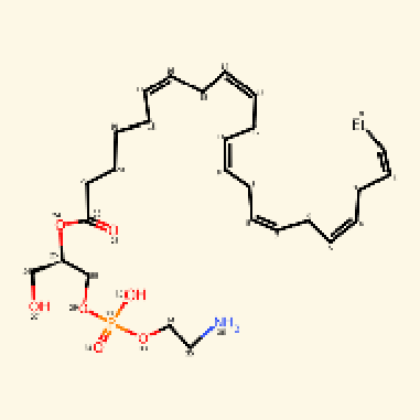 CC/C=C\C/C=C\C/C=C\C/C=C\C/C=C\C/C=C\CCCCC(=O)O[C@H](CO)COP(=O)(O)OCCN